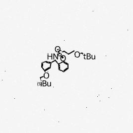 CC[C@H](C)COc1cccc(C(NS(=O)(=O)CCCOCC(C)(C)C)c2ccccc2)c1